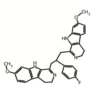 COc1ccc2c3c([nH]c2c1)C(CC(CC1=NCCc2c1[nH]c1cc(OC)ccc21)c1ccc(F)cc1)=NCC3